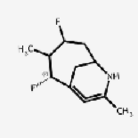 CC1=C=C2CC(CC(F)C(C)[C@H]2F)N1